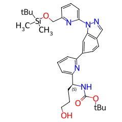 CC(C)(C)OC(=O)N[C@@H](CCCO)c1cccc(-c2ccc3cnn(-c4cccc(CO[Si](C)(C)C(C)(C)C)n4)c3c2)n1